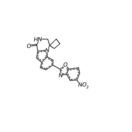 O=C1NCC2(CCC2)n2c1cc1ccc(-c3nc4cc([N+](=O)[O-])ccc4o3)cc12